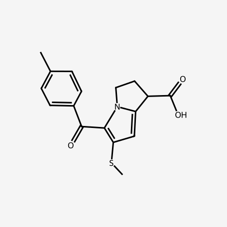 CSc1cc2n(c1C(=O)c1ccc(C)cc1)CCC2C(=O)O